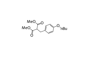 CCCCOc1ccc(CC(C(=O)OC)C(=O)OC)cc1